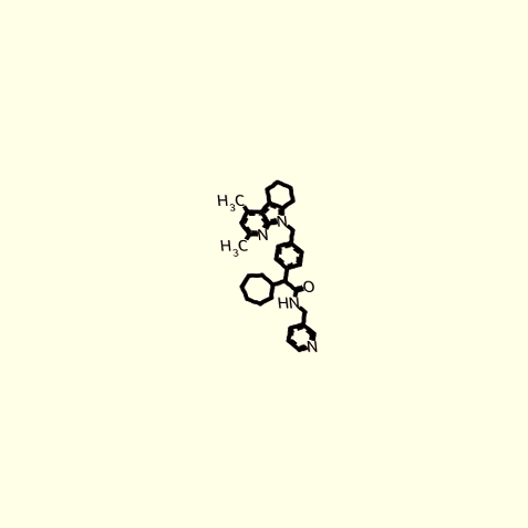 Cc1cc(C)c2c3c(n(Cc4ccc(C(C(=O)NCc5cccnc5)C5CCCCCC5)cc4)c2n1)CCCC3